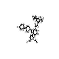 CCOc1ccc([C@@]2(CCN3CCC(N4CCCCC4)CC3)CCCN(C(=O)Cc3cc(C(F)(F)F)cc(C(F)(F)F)c3)C2)cc1OCC